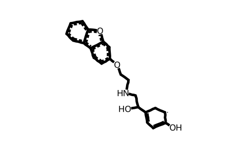 OC1=CC=C(C(O)CNCCOc2ccc3c(c2)oc2ccccc23)C[CH]1